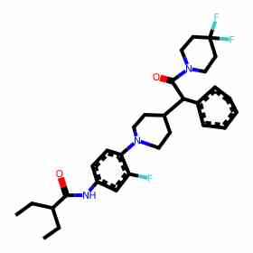 CCC(CC)C(=O)Nc1ccc(N2CCC(C(C(=O)N3CCC(F)(F)CC3)c3ccccc3)CC2)c(F)c1